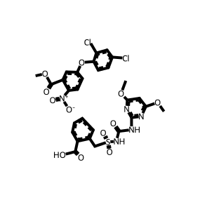 COC(=O)c1cc(Oc2ccc(Cl)cc2Cl)ccc1[N+](=O)[O-].COc1cc(OC)nc(NC(=O)NS(=O)(=O)Cc2ccccc2C(=O)O)n1